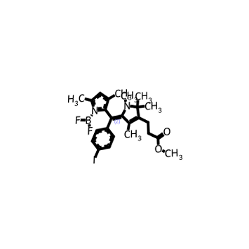 COC(=O)CCC1=C(C)/C(=C(\c2ccc(I)cc2)c2c(C)cc(C)n2B(F)F)N(C)C1(C)C